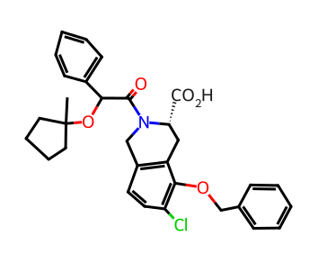 CC1(OC(C(=O)N2Cc3ccc(Cl)c(OCc4ccccc4)c3C[C@H]2C(=O)O)c2ccccc2)CCCC1